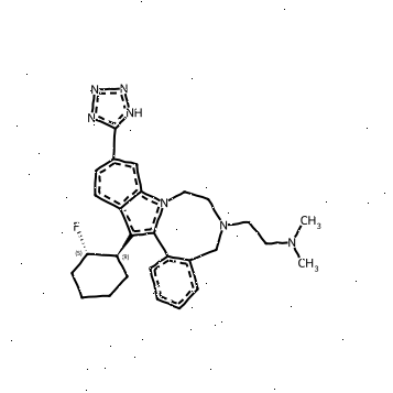 CN(C)CCN1CCn2c(c([C@H]3CCCC[C@@H]3F)c3ccc(-c4nnn[nH]4)cc32)-c2ccccc2C1